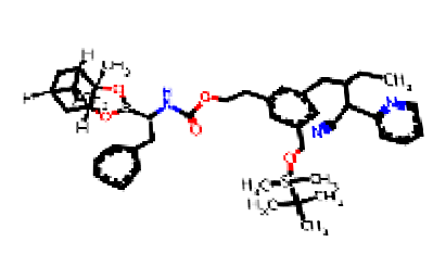 CCC(Cc1cc(CCOC(=O)N[C@@H](Cc2ccccc2)B2O[C@@H]3C[C@@H]4C[C@@H](C4(C)C)[C@]3(C)O2)cc(CO[Si](C)(C)C(C)(C)C)c1)C(C#N)c1ccccn1